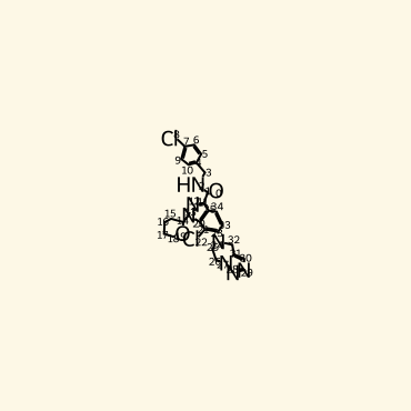 O=C(NCc1ccc(Cl)cc1)c1nn(C2CCCCO2)c2c(Cl)c(N3CCn4nncc4C3)ccc12